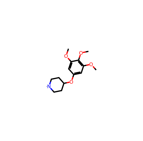 COc1cc(OC2CC[N]CC2)cc(OC)c1OC